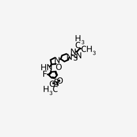 CCS(=O)(=O)c1ccc(NC2CCN(C3CCN(c4nc(C(C)C)ns4)CC3)C2=O)c(F)c1